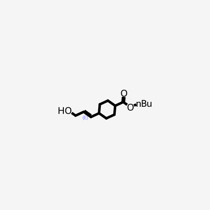 CCCCOC(=O)C1CCC(/C=C/CO)CC1